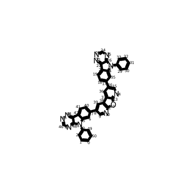 c1ccc(-n2c3cc(-c4cnc5oc6ncc(-c7ccc8c9nncnc9n(-c9ccccc9)c8c7)cc6c5c4)ccc3c3nncnc32)cc1